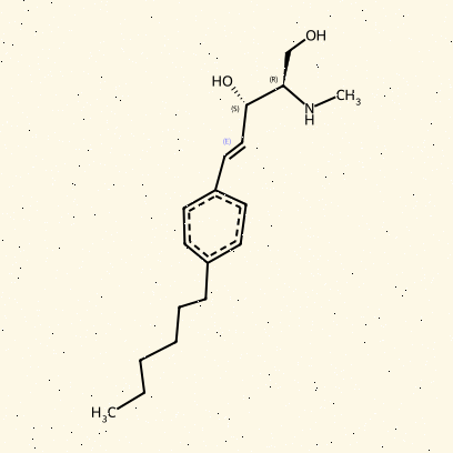 CCCCCCc1ccc(/C=C/[C@H](O)[C@@H](CO)NC)cc1